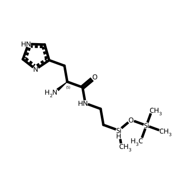 C[SiH](CCNC(=O)[C@@H](N)Cc1c[nH]cn1)O[Si](C)(C)C